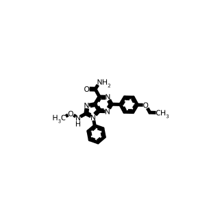 CCOc1ccc(-c2nc(C(N)=O)c3nc(NOC)n(-c4ccccc4)c3n2)cc1